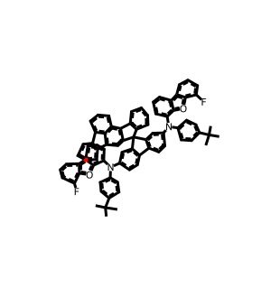 CC(C)(C)c1ccc(N(c2ccc3c(c2)C2(c4cc(N(c5ccc(C(C)(C)C)cc5)c5cccc6c5oc5c(F)cccc56)ccc4-3)c3ccccc3-c3c2cc2c4c(cccc34)-c3ccccc3-2)c2cccc3c2oc2c(F)cccc23)cc1